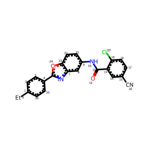 CCc1ccc(-c2nc3cc(NC(=O)c4cc(C#N)ccc4Cl)ccc3o2)cc1